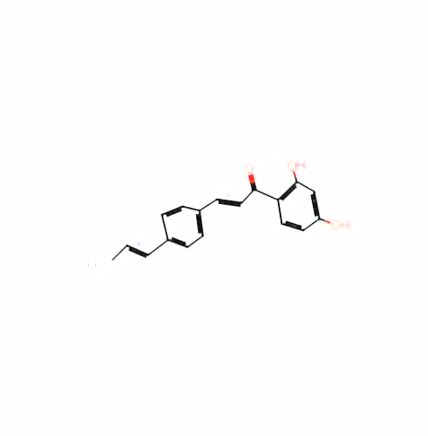 O=C(O)/C=C/c1ccc(/C=C/C(=O)c2ccc(O)cc2O)cc1